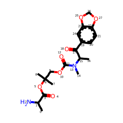 CC(N)C(=O)OC(C)(C)COC(=O)N(C)C(C)C(=O)c1ccc2c(c1)OCO2